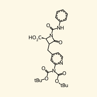 CC(C)(C)OC(=O)N(C(=O)OC(C)(C)C)c1cc(CC2C(=O)N(C(=O)Nc3ccccc3)[C@@H]2C(=O)O)ccn1